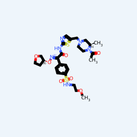 COCCNS(=O)(=O)c1ccc(/C(=N\O[C@@H]2CCOC2)C(=O)Nc2ncc(CN3CCN(C(C)=O)[C@@H](C)C3)s2)cc1